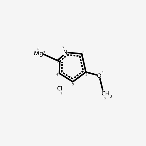 COc1cc[c]([Mg+])nc1.[Cl-]